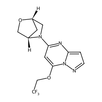 FC(F)(F)COc1cc(N2C[C@@H]3C[C@H]2CO3)nc2ccnn12